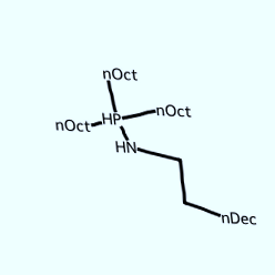 CCCCCCCCCCCCN[PH](CCCCCCCC)(CCCCCCCC)CCCCCCCC